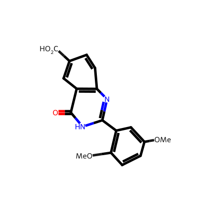 COc1ccc(OC)c(-c2nc3ccc(C(=O)O)cc3c(=O)[nH]2)c1